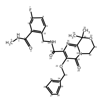 CNC(=O)c1cc(F)ccc1CNC(=O)c1nc2n(c(=O)c1OCc1ccccc1)CCOC2(C)C